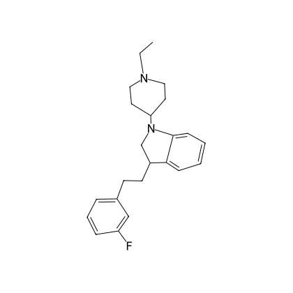 CCN1CCC(N2CC(CCc3cccc(F)c3)c3ccccc32)CC1